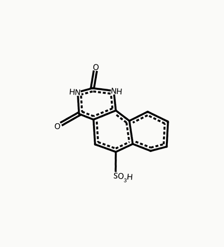 O=c1[nH]c(=O)c2cc(S(=O)(=O)O)c3ccccc3c2[nH]1